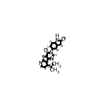 CN(C)c1ccnc2sc3c(=O)n(-c4ccc5c(c4)CC(=O)N5)cnc3c12